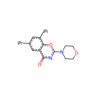 CC(C)c1cc(C(C)C)c2oc(N3CCOCC3)nc(=O)c2c1